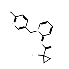 CC1(C(=O)/N=c2\ccccn2Cc2ccc(Cl)nc2)CC1